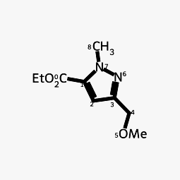 CCOC(=O)c1cc(COC)nn1C